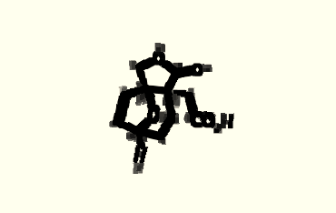 O=C(O)C[C@]12CC[C@@H]3C=C[C@@]1(COC2=O)O3